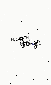 Cc1ccc(C)c(C(O[C@@H]2CCC[C@H](C/C=C3\SC(=O)NC3=O)C2)c2cocn2)c1